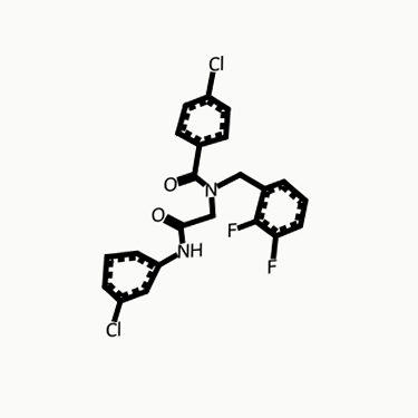 O=C(CN(Cc1cccc(F)c1F)C(=O)c1ccc(Cl)cc1)Nc1cccc(Cl)c1